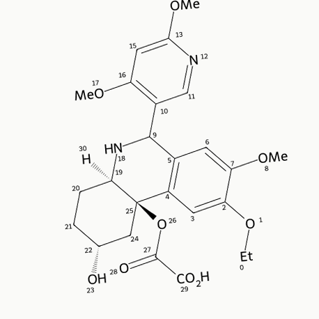 CCOc1cc2c(cc1OC)C(c1cnc(OC)cc1OC)N[C@@H]1CC[C@@H](O)C[C@@]21OC(=O)C(=O)O